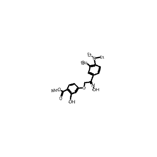 CCN(CC)c1ccc(C(COc2ccc(C(=O)OC)c(O)c2)=NO)cc1C(C)(C)C